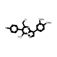 COc1ccc(-c2cnn3c(N)c(-c4ccc(F)cc4)c(CCl)nc23)cc1OC